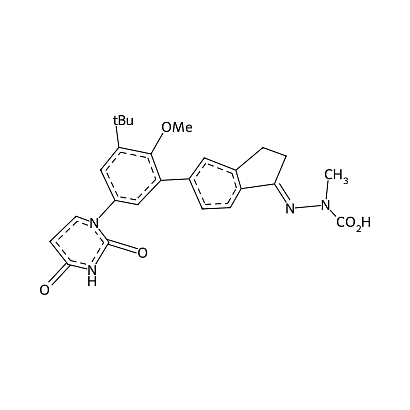 COc1c(-c2ccc3c(c2)CC/C3=N\N(C)C(=O)O)cc(-n2ccc(=O)[nH]c2=O)cc1C(C)(C)C